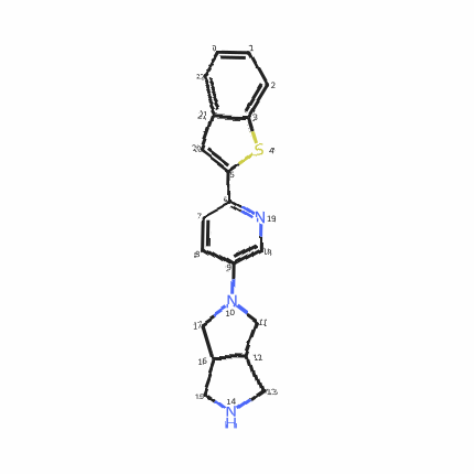 c1ccc2sc(-c3ccc(N4CC5CNCC5C4)cn3)cc2c1